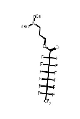 CCCCN(CCCC)CCCOC(=O)C(F)(F)C(F)(F)C(F)(F)C(F)(F)C(F)(F)C(F)(F)C(F)(F)F